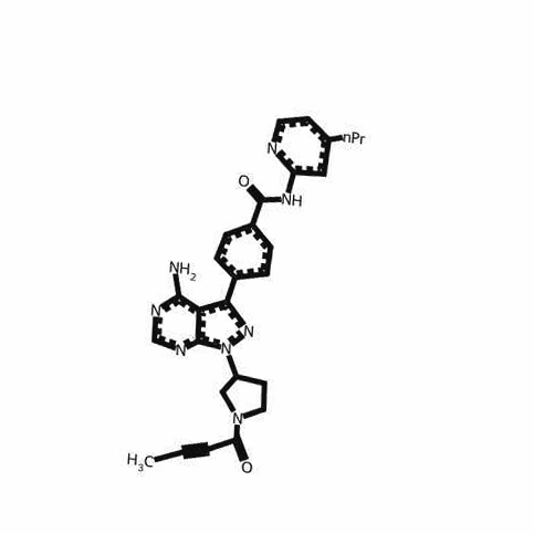 CC#CC(=O)N1CCC(n2nc(-c3ccc(C(=O)Nc4cc(CCC)ccn4)cc3)c3c(N)ncnc32)C1